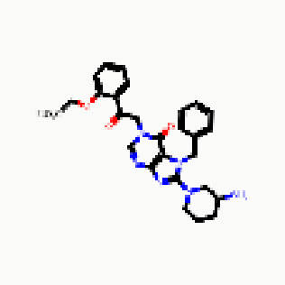 CCOC(=O)COc1ccccc1C(=O)Cn1cnc2nc(N3CCCC(N)C3)n(Cc3ccccc3)c2c1=O